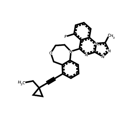 CCC1(C#Cc2cccc3c2COCCN3c2nc3nnc(C)n3c3cccc(F)c23)CC1